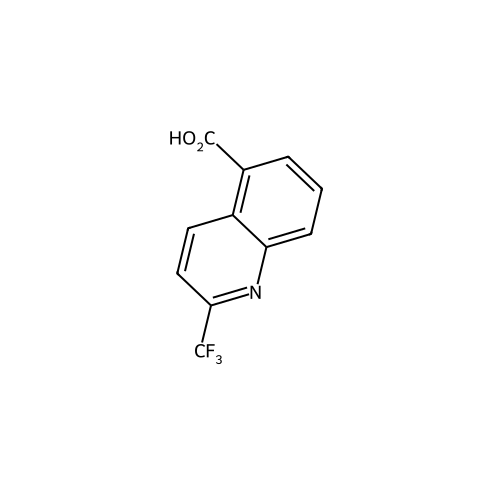 O=C(O)c1cccc2nc(C(F)(F)F)ccc12